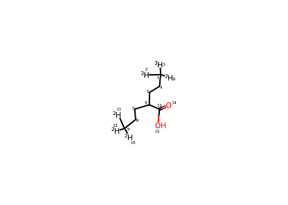 [2H]C([2H])([2H])CCC(CCC([2H])([2H])[2H])C(=O)O